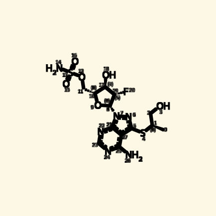 C[C@H](CO)Sc1nn([C@@H]2O[C@H](COS(N)(=O)=O)[C@@H](O)[C@@H]2F)c2ncnc(N)c12